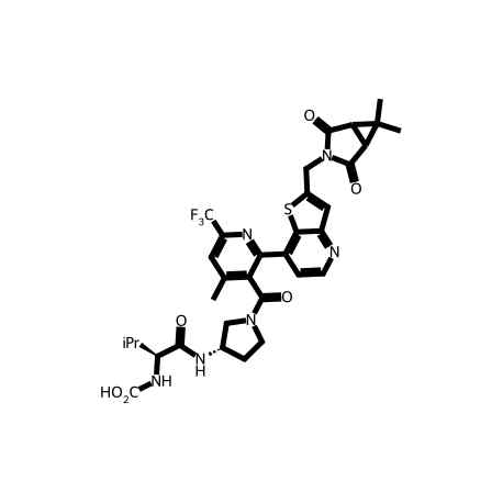 Cc1cc(C(F)(F)F)nc(-c2ccnc3cc(CN4C(=O)C5C(C4=O)C5(C)C)sc23)c1C(=O)N1CC[C@H](NC(=O)[C@@H](NC(=O)O)C(C)C)C1